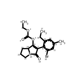 CCOC(=O)OC1=C(c2c(Br)cc(C)cc2CC)C(=O)N2CCCC12